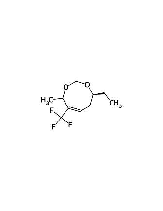 CC[C@H]1C/C=C(/C(F)(F)F)C(C)OCO1